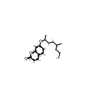 CC(CCF)CCC(C)Oc1ccc2ccc(=O)oc2c1